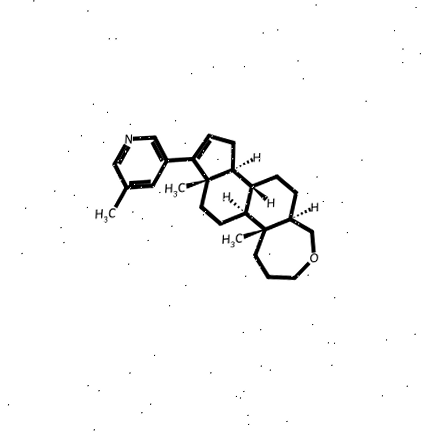 Cc1cncc(C2=CC[C@H]3[C@@H]4CC[C@H]5COCCC[C@]5(C)[C@H]4CC[C@]23C)c1